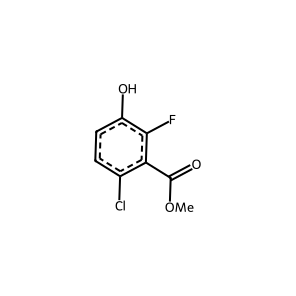 COC(=O)c1c(Cl)ccc(O)c1F